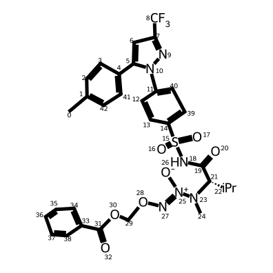 Cc1ccc(-c2cc(C(F)(F)F)nn2-c2ccc(S(=O)(=O)NC(=O)[C@H](C(C)C)N(C)/[N+]([O-])=N/OCOC(=O)c3ccccc3)cc2)cc1